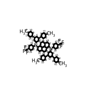 Cc1ccc(-c2cc(-c3ccc(C)cc3)cc(N(c3ccc(C(F)(F)F)cc3)c3ccc4ccc5c(N(c6ccc(C(F)(F)F)cc6)c6cc(-c7ccc(C)cc7)cc(-c7ccc(C)cc7)c6)ccc6ccc3c4c65)c2)cc1